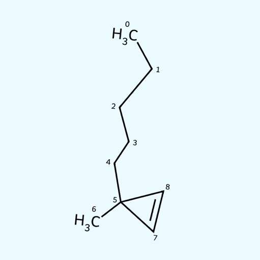 CCCCCC1(C)C=C1